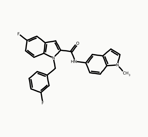 Cn1ccc2cc(NC(=O)c3cc4cc(F)ccc4n3Cc3cccc(F)c3)ccc21